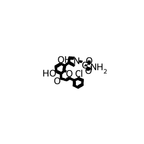 NS(=O)(=O)CCn1ccc(-c2c(O)cc(O)c3c(=O)cc(-c4ccccc4Cl)oc23)c1